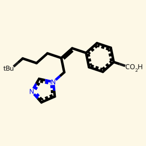 CC(C)(C)CCC/C(=C/c1ccc(C(=O)O)cc1)Cn1ccnc1